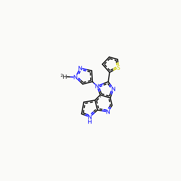 [2H]n1cc(-n2c(-c3cccs3)nc3cnc4[nH]ccc4c32)cn1